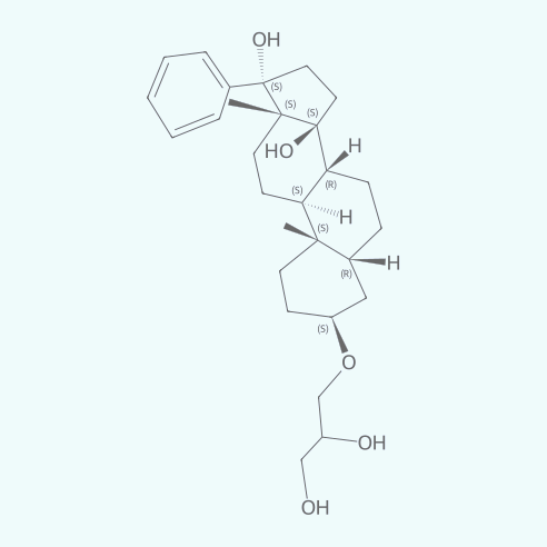 C[C@]12CC[C@H](OCC(O)CO)C[C@H]1CC[C@@H]1[C@@H]2CC[C@]2(C)[C@@](O)(c3ccccc3)CC[C@]12O